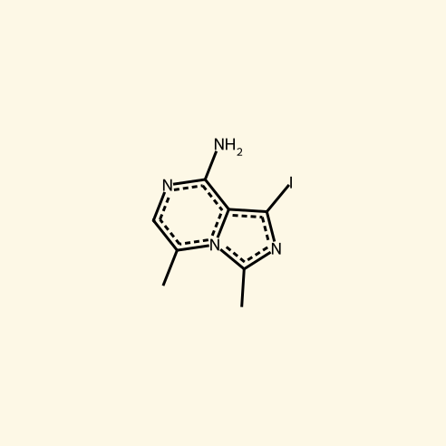 Cc1cnc(N)c2c(I)nc(C)n12